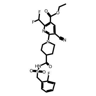 CCOC(=O)c1cc(C#N)c(N2CCC(C(=O)NS(=O)(=O)Cc3ccccc3F)CC2)nc1C(F)F